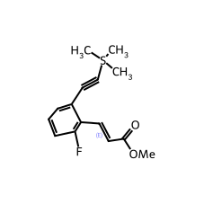 COC(=O)/C=C/c1c(F)cccc1C#CS(C)(C)C